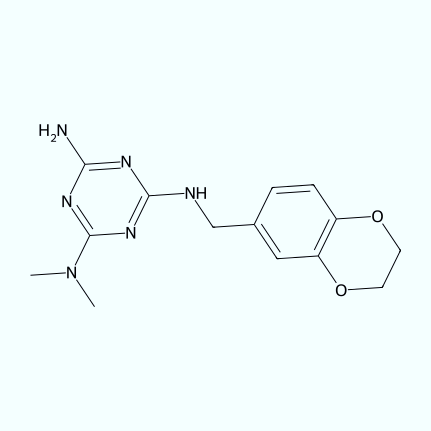 CN(C)c1nc(N)nc(NCc2ccc3c(c2)OCCO3)n1